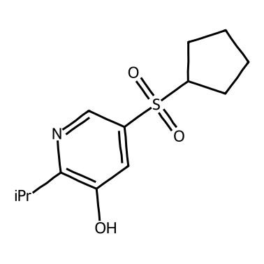 CC(C)c1ncc(S(=O)(=O)C2CCCC2)cc1O